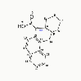 O=C(O)/C=C1\CCCCC1Cc1cccc2ccccc12